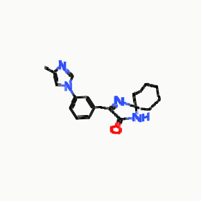 Cc1cn(-c2cccc(C3=NC4(CCCCC4)NC3=O)c2)cn1